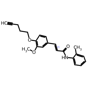 C#CCCCOc1ccc(/C=C/C(=O)Nc2ccccc2C)cc1OC